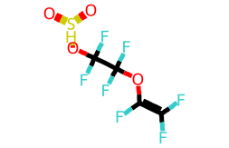 O=[SH](=O)OC(F)(F)C(F)(F)OC(F)=C(F)F